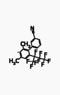 Cc1[c]c(C)c(-c2cccc(C#N)c2)c(C(F)(C(F)(F)F)C(F)(F)C(F)(F)F)c1